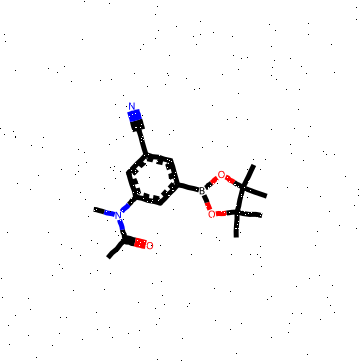 CC(=O)N(C)c1cc(C#N)cc(B2OC(C)(C)C(C)(C)O2)c1